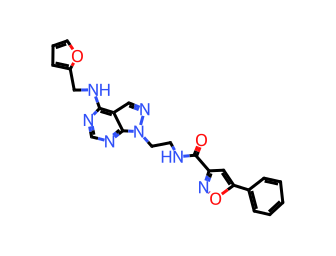 O=C(NCCn1ncc2c(NCc3ccco3)ncnc21)c1cc(-c2ccccc2)on1